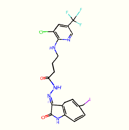 O=C(CCCNc1ncc(C(F)(F)F)cc1Cl)N/N=C1/C(=O)Nc2ccc(I)cc21